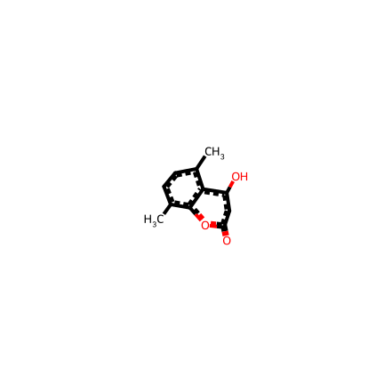 Cc1ccc(C)c2c(O)cc(=O)oc12